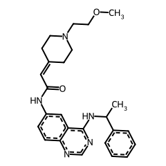 COCCN1CCC(=CC(=O)Nc2ccc3ncnc(NC(C)c4ccccc4)c3c2)CC1